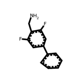 NCc1c(F)cc(-c2ccccc2)cc1F